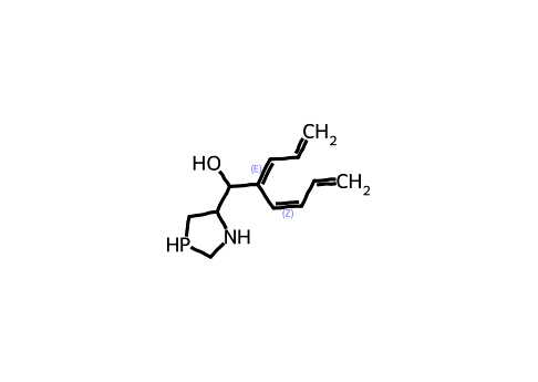 C=C/C=C\C(=C/C=C)C(O)C1CPCN1